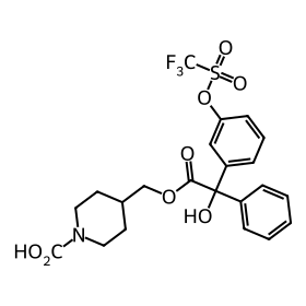 O=C(O)N1CCC(COC(=O)C(O)(c2ccccc2)c2cccc(OS(=O)(=O)C(F)(F)F)c2)CC1